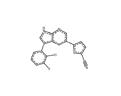 N#Cc1ccc(-c2cnc3[nH]cc(-c4cccc(F)c4Cl)c3c2)s1